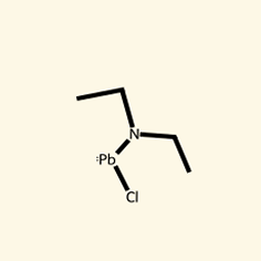 CC[N](CC)[Pb][Cl]